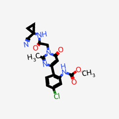 COC(=O)Nc1cc(Cl)ccc1-c1cc(=O)n(CC(=O)NC2(C#N)CC2)c(C)n1